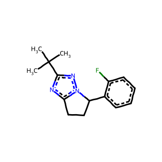 CC(C)(C)c1nc2n(n1)C(c1ccccc1F)CC2